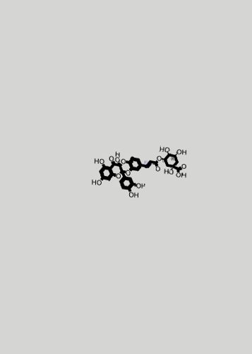 O=C(/C=C/c1ccc2c(c1)OC1(c3ccc(O)c(O)c3)Oc3cc(O)cc(O)c3C(=O)C1(O)O2)O[C@@H]1C[C@](O)(C(=O)O)C[C@@H](O)[C@H]1O